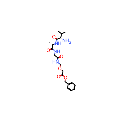 CC(C)[C@H](N)C(=O)N[C@@H](C)C(=O)NCC(=O)NCOCC(=O)OCc1ccccc1